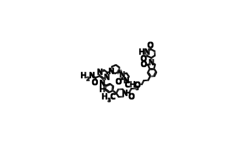 CN1CCN([C@@H]2CCCN(c3cnc(C(N)=O)c(Nc4ccc(C5(C)CCN(C(=O)CCOCCCc6ccc7c(c6)C(=O)N(C6CCC(=O)NC6=O)C7)CC5)cc4)n3)C2)C1=O